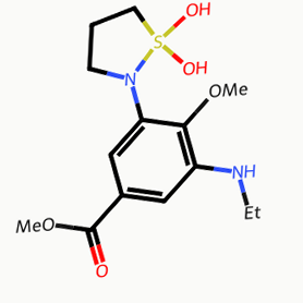 CCNc1cc(C(=O)OC)cc(N2CCCS2(O)O)c1OC